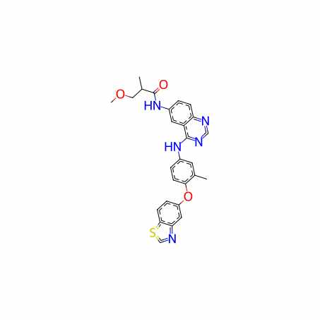 COCC(C)C(=O)Nc1ccc2ncnc(Nc3ccc(Oc4ccc5scnc5c4)c(C)c3)c2c1